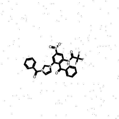 O=C(c1ccccc1)c1c(NC(=O)C(F)(F)F)cc([N+](=O)[O-])cc1N1C=CN(C(=O)c2ccccc2)C1